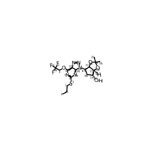 CCCSc1nc(OCC(F)(F)F)c2nnn(C3C[C@H](O)[C@H]4OC(C)(C)OC34)c2n1